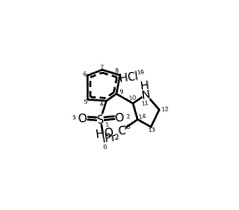 CC(C)S(=O)(=O)c1ccccc1C1NCCC1C(=O)O.Cl